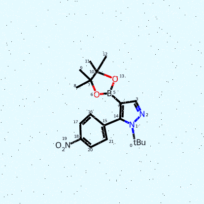 CC(C)(C)n1ncc(B2OC(C)(C)C(C)(C)O2)c1-c1ccc([N+](=O)[O-])cc1